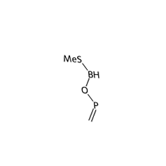 C=POBSC